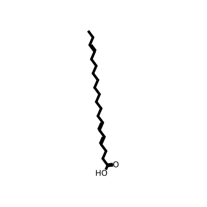 CCC=CCCCCCCCCCC=CC=CCCC(=O)O